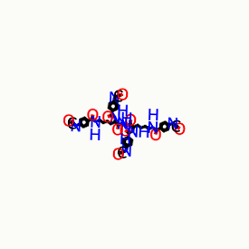 O=C=Nc1ccc(C(=O)NCCCCC(NC(=O)c2ccc(N=C=O)cc2)C(=O)NNC(=O)C(CCCCNC(=O)c2ccc(N=C=O)cc2)NC(=O)c2ccc(N=C=O)cc2)cc1